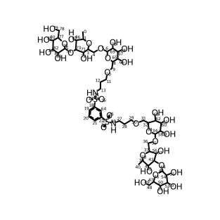 CC1OC(COC2OC(COCCCNS(=O)(=O)c3cccc(S(=O)(=O)NCCCOCC4OC(OCC5OC(C)C(O)C(OC6OC(CO)C(O)C(O)C6O)C5O)C(O)C(O)C4O)c3)C(O)C(O)C2O)C(O)C(OC2OC(CO)C(O)C(O)C2O)C1O